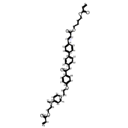 C=CC(=O)OCCCCOC(=O)/C=C/c1ccc(-c2ccc(CC(=O)c3ccc(OCC[n+]4ccc(N(C)CCOC(=O)C=C)cc4)cc3)cc2)cc1